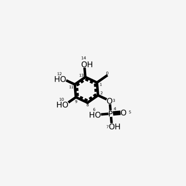 Cc1c(OP(=O)(O)O)cc(O)c(O)c1O